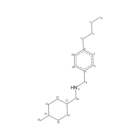 CCCCc1ccc(CNCC2CCC(C)CC2)cc1